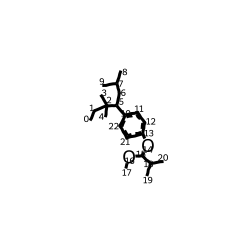 CCC(C)(C)C(CC(C)C)c1ccc(OC(OC)C(C)C)cc1